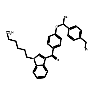 CC(C)Cc1ccc(C(Oc2ccc(C(=O)c3cn(CCCCCC(=O)O)c4ccccc34)cc2)C(C)(C)C)cc1